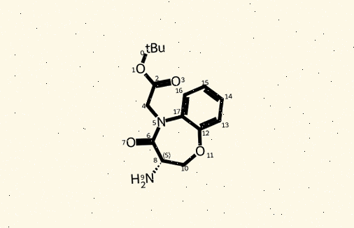 CC(C)(C)OC(=O)CN1C(=O)[C@@H](N)COc2ccccc21